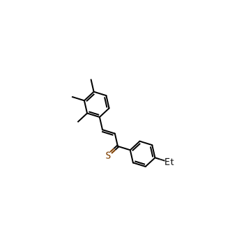 CCc1ccc(C(=S)C=Cc2ccc(C)c(C)c2C)cc1